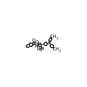 Cc1ccc(N(c2ccc(C)cc2)c2ccc(-c3cnc(/N=c4\c(=O)c(=O)c5cc6ccccc6cc45)c4nsnc34)cc2)cc1